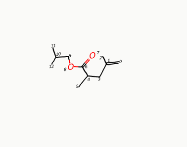 C=C(C)CC(C)C(=O)OCC(C)C